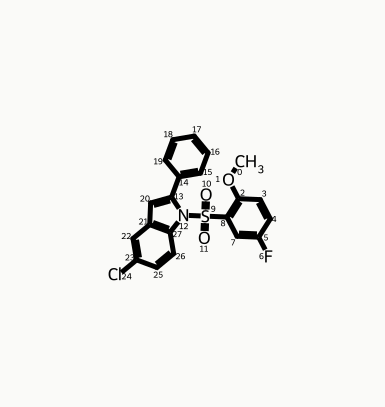 COc1ccc(F)cc1S(=O)(=O)n1c(-c2ccccc2)cc2cc(Cl)ccc21